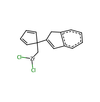 [Cl][Zr]([Cl])[CH2]C1(C2=Cc3ccccc3C2)C=CC=C1